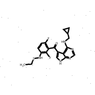 CCSNc1ccc(F)c(C(=O)c2c[nH]c3ncnc(NCC4CC4)c23)c1F